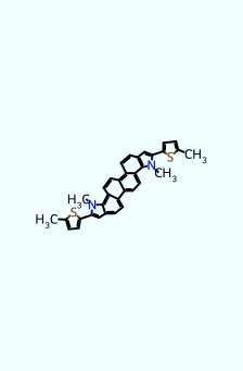 Cc1ccc(-c2cc3ccc4c5ccc6c(ccc7cc(-c8ccc(C)s8)n(C)c76)c5ccc4c3n2C)s1